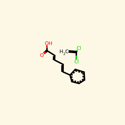 C=C(Cl)Cl.O=C(O)C=CC=Cc1ccccc1